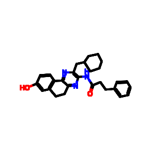 O=C(CCc1ccccc1)Nc1nc2c(nc1CC1CCCCC1)-c1ccc(O)cc1CC2